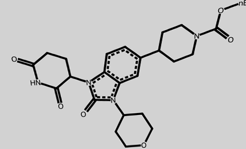 CCCCOC(=O)N1CCC(c2ccc3c(c2)n(C2CCOCC2)c(=O)n3C2CCC(=O)NC2=O)CC1